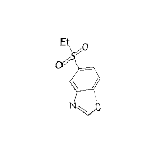 CCS(=O)(=O)c1ccc2ocnc2c1